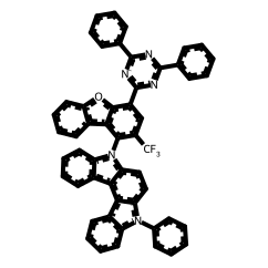 FC(F)(F)c1cc(-c2nc(-c3ccccc3)nc(-c3ccccc3)n2)c2oc3ccccc3c2c1-n1c2ccccc2c2c3c4ccccc4n(-c4ccccc4)c3ccc21